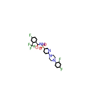 O=C(NS(=O)(=O)c1ccc(N2CCN(c3ccc(F)cc3F)CC2)nc1)c1ccc(F)cc1C(F)(F)F